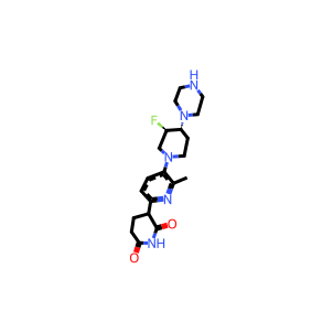 Cc1nc(C2CCC(=O)NC2=O)ccc1N1CC[C@@H](N2CCNCC2)[C@H](F)C1